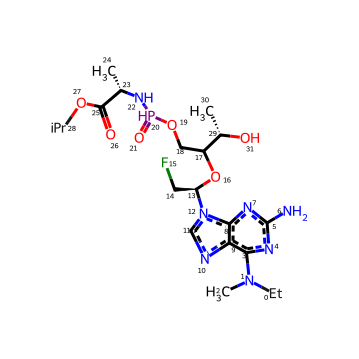 CCN(C)c1nc(N)nc2c1ncn2[C@@H](CF)OC(CO[PH](=O)N[C@@H](C)C(=O)OC(C)C)[C@H](C)O